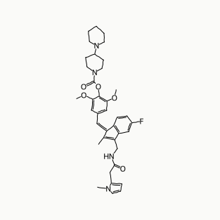 COc1cc(/C=C2/C(C)=C(CNC(=O)Cc3cccn3C)c3cc(F)ccc32)cc(OC)c1OC(=O)N1CCC(N2CCCCC2)CC1